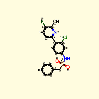 N#Cc1nc(-c2ccc(NS(=O)(=O)Cc3ccccc3)cc2Cl)ccc1F